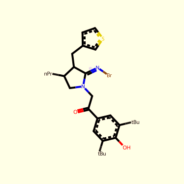 CCCC1CN(CC(=O)c2cc(C(C)(C)C)c(O)c(C(C)(C)C)c2)/C(=N\Br)C1Cc1ccsc1